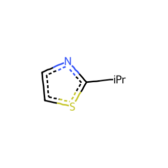 [CH2]C(C)c1nccs1